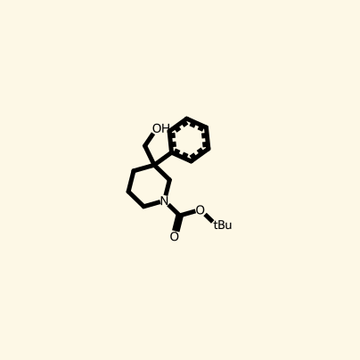 CC(C)(C)OC(=O)N1CCCC(CO)(c2ccccc2)C1